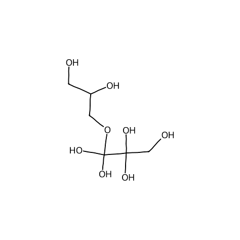 OCC(O)COC(O)(O)C(O)(O)CO